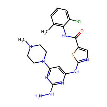 Cc1cccc(Cl)c1NC(=O)c1cnc(Nc2cc(N3CCN(C)CC3)nc(NN)n2)s1